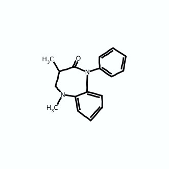 CC1CN(C)c2ccccc2N(c2ccccc2)C1=O